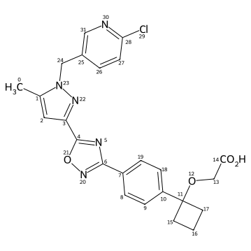 Cc1cc(-c2nc(-c3ccc(C4(OCC(=O)O)CCC4)cc3)no2)nn1Cc1ccc(Cl)nc1